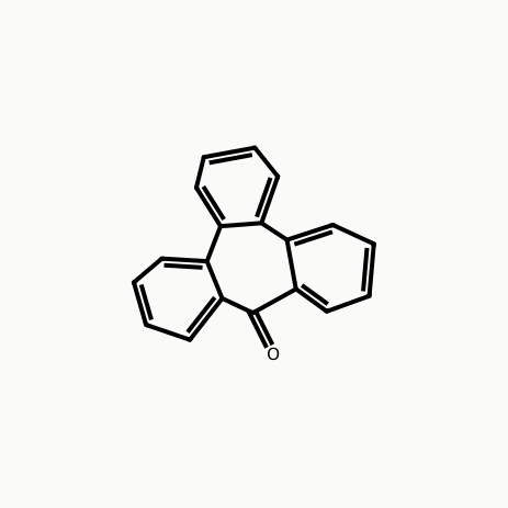 O=c1c2ccccc2c2ccccc2c2ccccc12